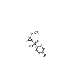 O=S(=O)(c1ccc(F)cc1)N1CC1CC(F)(F)F